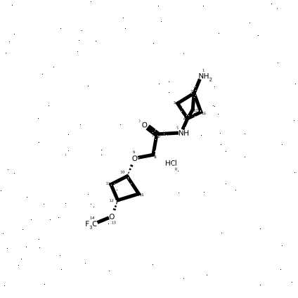 Cl.NC12CC(NC(=O)CO[C@H]3C[C@@H](OC(F)(F)F)C3)(C1)C2